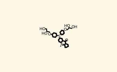 Cn1c2ccccc2c(=O)c2cc([S+](c3ccc(OCC(O)CO)cc3)c3ccc(OCC(O)CO)cc3)ccc21